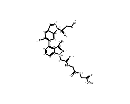 COC(=O)CNC(=O)CNC(=O)Cn1nc(C(C)C)c2c(-c3cc4c(cnn4C(=O)CCC(C)=O)cc3F)cccc21